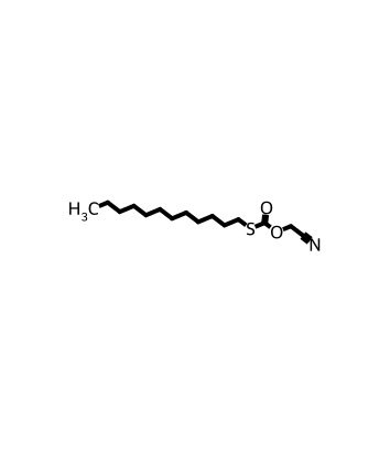 CCCCCCCCCCCCSC(=O)OCC#N